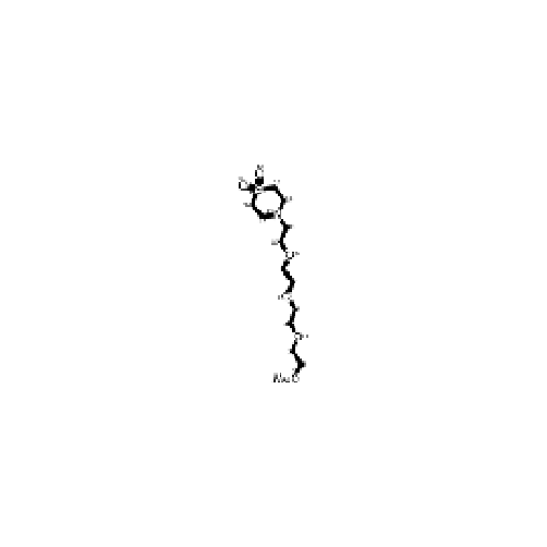 COCCOCCOCCOCCN1CCS(=O)(=O)CC1